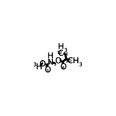 [3H]OC(=O)NCOC(=O)C(C)CC